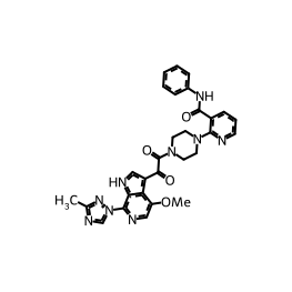 COc1cnc(-n2cnc(C)n2)c2[nH]cc(C(=O)C(=O)N3CCN(c4ncccc4C(=O)Nc4ccccc4)CC3)c12